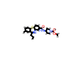 CCCC1=NC2C=C(C(=O)NC3CCN(C(=O)OCC)CC3)C=CC2Sc2ccc(C)cc21